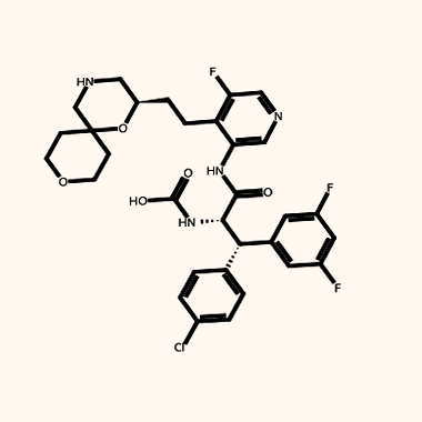 O=C(O)N[C@H](C(=O)Nc1cncc(F)c1CC[C@@H]1CNCC2(CCOCC2)O1)[C@@H](c1ccc(Cl)cc1)c1cc(F)cc(F)c1